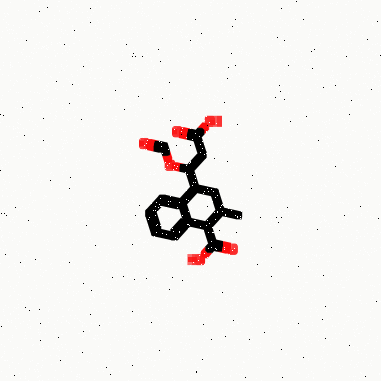 CC1CC(C(CC(=O)O)OC=O)c2ccccc2C1C(=O)O